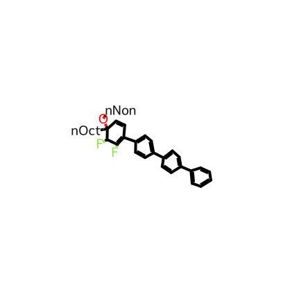 CCCCCCCCCOC1(CCCCCCCC)C=CC(c2ccc(-c3ccc(-c4ccccc4)cc3)cc2)=C(F)C1F